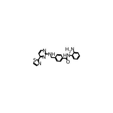 Nc1ccccc1NC(=O)c1ccc(CNc2nccc(-c3nccs3)n2)cc1